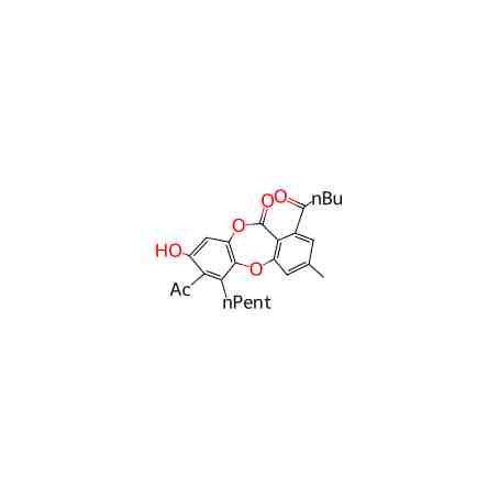 CCCCCc1c2c(cc(O)c1C(C)=O)OC(=O)c1c(cc(C)cc1C(=O)CCCC)O2